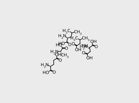 CC(C)C[C@H](N)C(=O)O.CC(C)[C@H](N)C(=O)O.C[C@H](N)C(=O)O.N[C@@H](CC(=O)O)C(=O)O.N[C@@H](CCC(=O)O)C(=O)O